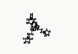 C1CCN(CCCOC2(OCCCN3CCCC3)CC3=C(CNCC3)S2)C1